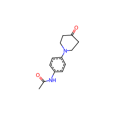 CC(=O)Nc1ccc(N2CCC(=O)CC2)cc1